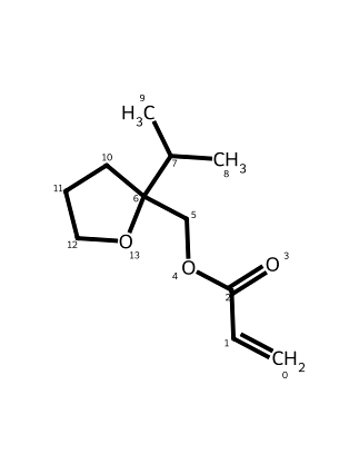 C=CC(=O)OCC1(C(C)C)CCCO1